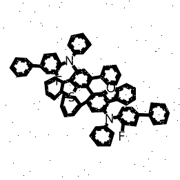 Fc1cc(-c2ccccc2)ccc1N(c1ccccc1)c1cc(-c2ccccc2)c(-c2c(C3=CC=CCC3)cc(N(c3ccccc3)c3ccc(-c4ccccc4)cc3F)c3c2oc2ccccc23)c2c1C1C=CC=CC1S2